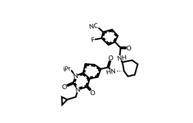 CC(C)n1c(=O)n(CC2CC2)c(=O)c2cc(C(=O)N[C@H]3CCCCC3NC(=O)c3ccc(C#N)c(F)c3)ccc21